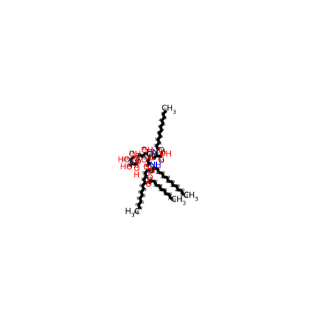 CCCCCCCCCCCCCC(=O)NC(COC(OC(COC(O)/C(O)=C(/O)C(=O)O)C(C)O)C(NC(=O)CCCCCCCCCCCCC)OC(=O)CC(CCCCCCCCCCC)OC(=O)CCCCCCCCC)C(=O)O